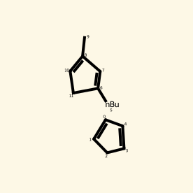 C1=CCC=C1.CCCCC1=CC(C)=CC1